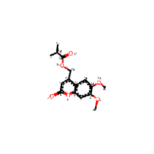 COc1cc2oc(=O)cc(COC(=O)C(C)C)c2cc1OC